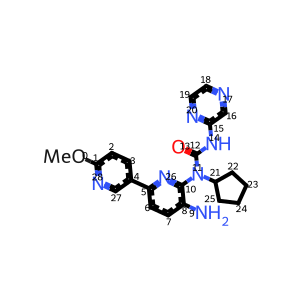 COc1ccc(-c2ccc(N)c(N(C(=O)Nc3cnccn3)C3CCCC3)n2)cn1